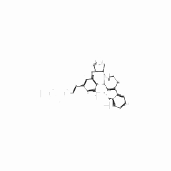 O=C(O)/C=C/c1cc(F)c([C@@H]2c3[nH]c4ccccc4c3CCN2[C@H]2CCOC2)c(F)c1